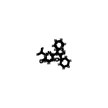 CC(C)n1nc(-c2c(C3(O)CCCCC3)nn3ccccc23)ccc1=O